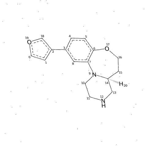 c1cc(-c2ccc3c(c2)N2CCNC[C@@H]2CCO3)co1